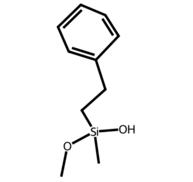 CO[Si](C)(O)CCc1ccccc1